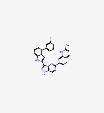 C=C/C(=C\C(=C/C)c1ccc2[nH]nc(-c3cc4c(-c5cccc(F)c5)cccc4[nH]3)c2n1)NC(=C)C(C)(C)C